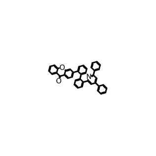 O=c1c2ccccc2oc2cc(-c3ccccc3-c3ccccc3-c3cc(-c4ccccc4)cc(-c4ccccc4)n3)ccc12